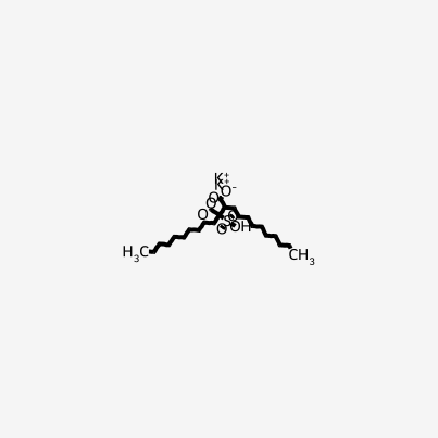 CCCCCCCCCCC(C(=O)[O-])C(CCCCCCCCCC)(C(=O)[O-])S(=O)(=O)O.[K+].[K+]